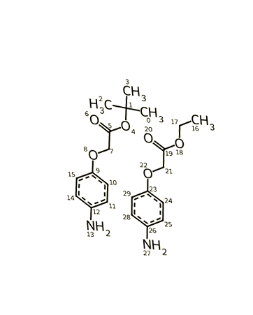 CC(C)(C)OC(=O)COc1ccc(N)cc1.CCOC(=O)COc1ccc(N)cc1